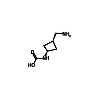 NC[C@H]1C[C@@H](NC(=O)O)C1